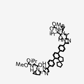 COC(=O)N[C@H](C(=O)N(C1CC1)[C@@H](C)c1ncc(-c2ccc(-c3ccc(-c4ccc(-c5cnc([C@@H]6CC7CC7N6C(=O)[C@@H](NC(=O)OC)C(C)C)[nH]5)cc4)c4c3CCC43CCCC3)cc2)[nH]1)C(C)C